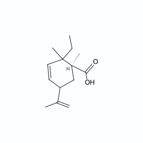 C=C(C)C1C=CC(C)(CC)[C@@](C)(C(=O)O)C1